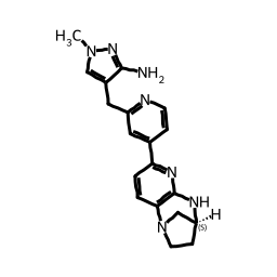 Cn1cc(Cc2cc(-c3ccc4c(n3)N[C@H]3CCN4C3)ccn2)c(N)n1